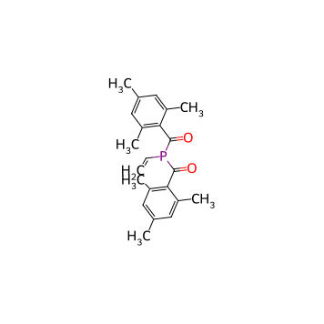 C=CP(C(=O)c1c(C)cc(C)cc1C)C(=O)c1c(C)cc(C)cc1C